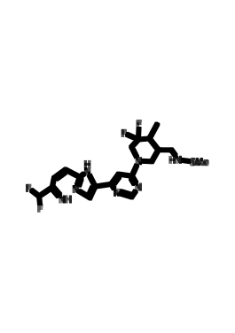 CSNCC1CN(c2cc(-c3cnc(/C=C\C(=N)C(F)F)[nH]3)ncn2)CC(F)(F)C1C